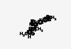 Cc1cc(C)c(CNC(C)c2cc(N3CCC(N4CCN(S(C)(=O)=O)CC4)CC3)nc3c2cnn3C(C)C)c(=O)[nH]1